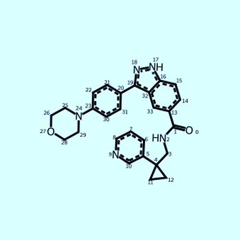 O=C(NCC1(c2cccnc2)CC1)c1ccc2[nH]nc(-c3ccc(N4CCOCC4)cc3)c2c1